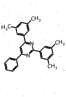 Cc1cc(C)cc(-c2cc(-c3ccccc3)nc(-c3cc(C)cc(C)c3)n2)c1